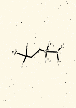 CCN(CC)[Si](C)(C)CCC(F)(F)C(F)(F)F